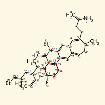 C=C(N)CCC1=CN2C=C(N(CC)C(=C)C3=CCCCN3C(C)C(/C=C\C)=C/C(C)=C/CC)C(N3CCC(F)(F)CC3)=CC2=CCC1C